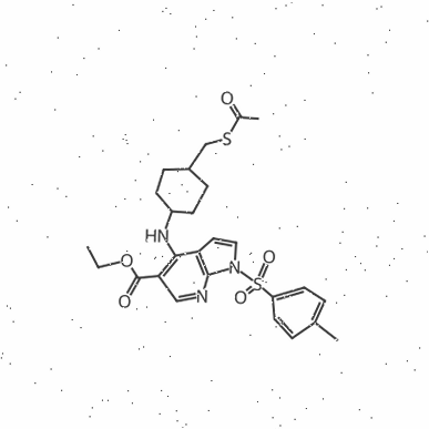 CCOC(=O)c1cnc2c(ccn2S(=O)(=O)c2ccc(C)cc2)c1NC1CCC(CSC(C)=O)CC1